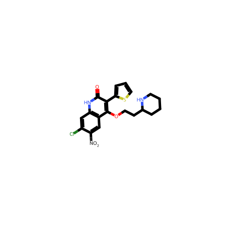 O=c1[nH]c2cc(Cl)c([N+](=O)[O-])cc2c(OCCC2CCCCN2)c1-c1cccs1